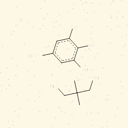 CC(C)(CO)CO.O=C(O)c1cc(O)c(O)c(O)c1